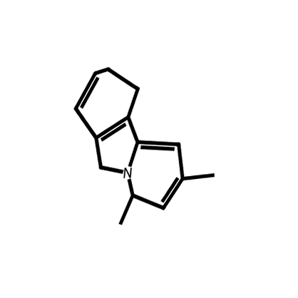 CC1=CC(C)N2CC3=C(CCC=C3)C2=C1